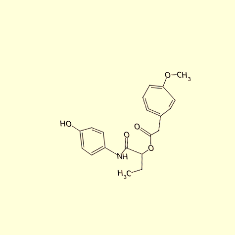 CCC(OC(=O)CC1=C=CC=C(OC)C=C1)C(=O)Nc1ccc(O)cc1